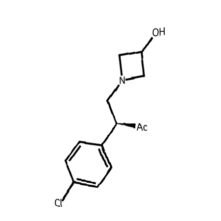 CC(=O)[C@H](CN1CC(O)C1)c1ccc(Cl)cc1